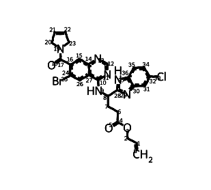 C=CCOC(=O)CCC(Nc1ncnc2cc(C(=O)N3CC=CC3)c(Br)cc12)c1nc2cc(Cl)ccc2[nH]1